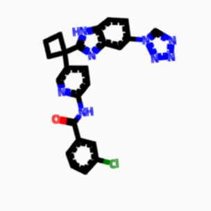 O=C(Nc1ccc(C2(c3nc4cc(-n5cnnn5)ccc4[nH]3)CCC2)cn1)c1cccc(Cl)c1